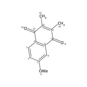 COc1ccc2c(c1)C(=O)C(C)=C(C)C2=O